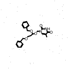 Cc1cn(COC(CCOCc2ccccc2)OCc2ccccc2)c(=O)[nH]c1=O